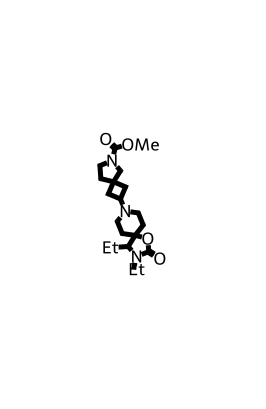 CCC1N(CC)C(=O)OC12CCN(C1CC3(CCN(C(=O)OC)C3)C1)CC2